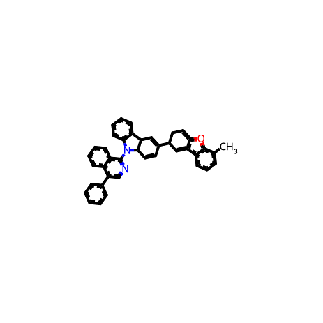 Cc1cccc2c3c(oc12)=CCC(C1=CC2c4ccccc4N(c4ncc(-c5ccccc5)c5ccccc45)C2C=C1)C=3